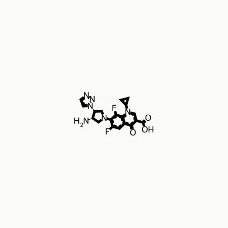 N[C@H]1CN(c2c(F)cc3c(=O)c(C(=O)O)cn(C4CC4)c3c2F)C[C@H]1n1ccnn1